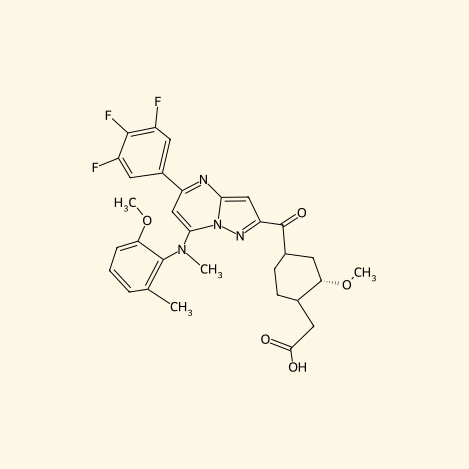 COc1cccc(C)c1N(C)c1cc(-c2cc(F)c(F)c(F)c2)nc2cc(C(=O)C3CCC(CC(=O)O)[C@@H](OC)C3)nn12